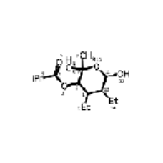 CCC1C(OC(=O)C(C)C)C(C)(C)O[C@@H](O)[C@H]1CC